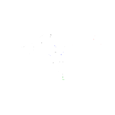 Cc1cc(Cl)cc(CN(Cc2cc(C)ccc2-c2cc(C(C)C)ccc2C)c2ncc(OCCCC(=O)O)cn2)c1